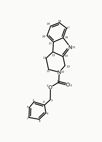 O=C(OCc1ccccc1)N1CCC2C(=Nc3ccccc32)C1